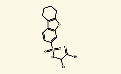 CCC(NS(=O)(=O)c1ccc2c3c(oc2c1)CCCC3)C(N)=O